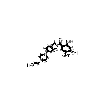 CC(C)c1cc(C(=O)N2Cc3ccc(N4CCN(CCO)CC4)cc3C2)c(O)cc1O